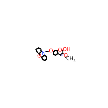 CCO/C(=C/c1ccc(OCCN2c3ccccc3Oc3ccccc32)cc1)C(=O)O